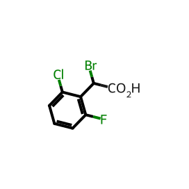 O=C(O)C(Br)c1c(F)cccc1Cl